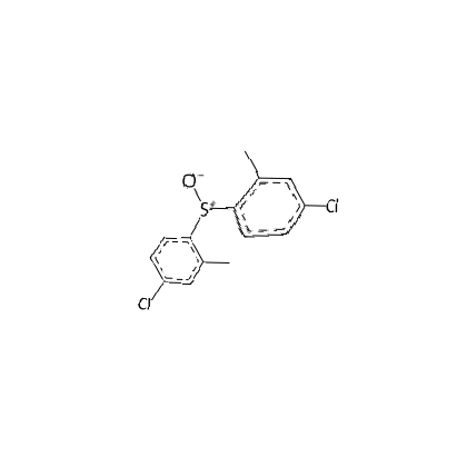 Cc1cc(Cl)ccc1[S+]([O-])c1ccc(Cl)cc1C